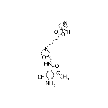 COc1cc(N)c(Cl)cc1C(=O)NC[C@@H]1CN(CCCCC(=O)O[C@H]2CN3CCC2CC3)CCO1